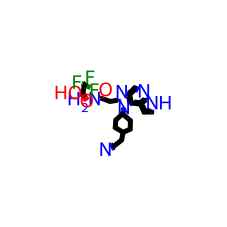 N#CCC1CCC(n2c(CC(N)=O)nc3cnc4[nH]ccc4c32)CC1.O=C(O)C(F)(F)F